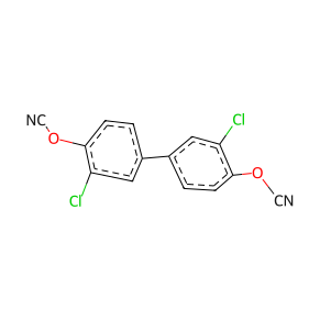 N#COc1ccc(-c2ccc(OC#N)c(Cl)c2)cc1Cl